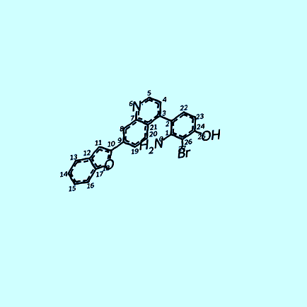 Nc1c(-c2ccnc3cc(-c4cc5ccccc5o4)ccc23)ccc(O)c1Br